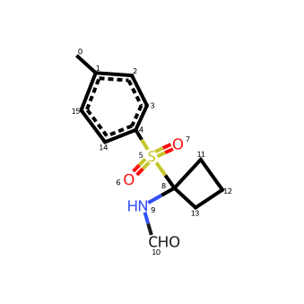 Cc1ccc(S(=O)(=O)C2(NC=O)CCC2)cc1